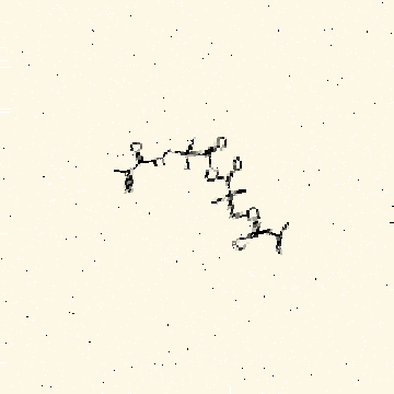 C=C(C)C(=O)OCC(C)(C)C(=O)OC(=O)C(C)(C)COC(=O)C(=C)C